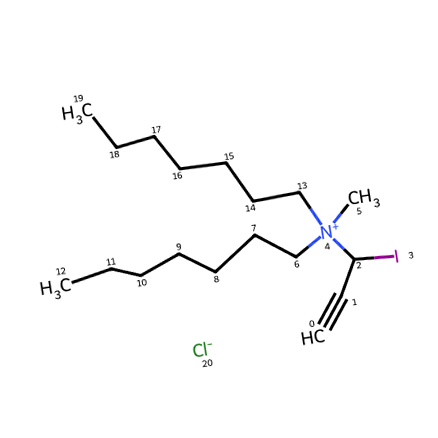 C#CC(I)[N+](C)(CCCCCCC)CCCCCCC.[Cl-]